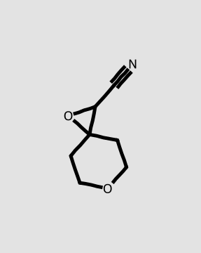 N#CC1OC12CCOCC2